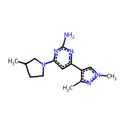 C[C]1CCN(c2cc(-c3cn(C)nc3C)nc(N)n2)C1